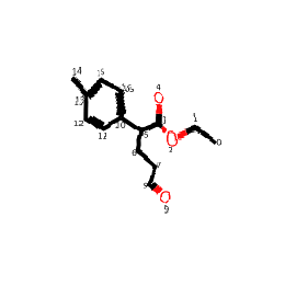 CCOC(=O)C(CCC=O)c1ccc(C)cc1